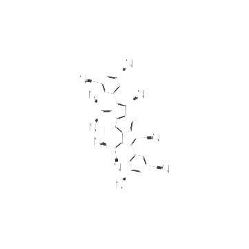 N#CC(C#N)=C1C(c2cc(C#N)cc(C#N)c2)=C(C#N)c2c(F)c3c(c(F)c21)C(=C(C#N)C#N)C(c1cc(C#N)cc(C#N)c1)=C3C#N